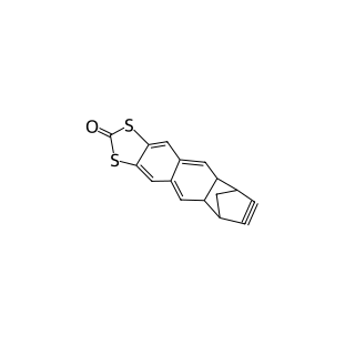 O=c1sc2cc3c(cc2s1)=CC1C2C#CC(C2)C1C=3